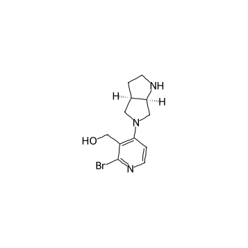 OCc1c(N2C[C@H]3CCN[C@H]3C2)ccnc1Br